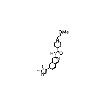 COCCN1CCC(C(=O)Nc2cc3cc(-c4cnc(C)n4C)ccc3cn2)CC1